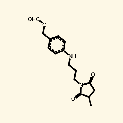 CC1CC(=O)N(CCCNc2ccc(COC=O)cc2)C1=O